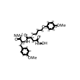 CNC(=O)[C@H](Cc1ccc(OC)cc1)NC(=O)[C@H](CCCCOc1ccc(OC)cc1)CC(=O)NO